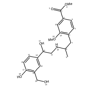 COC(=O)c1ccc(CC(C)NCC(O)c2ccc(O)c(CO)c2)c(OC)c1